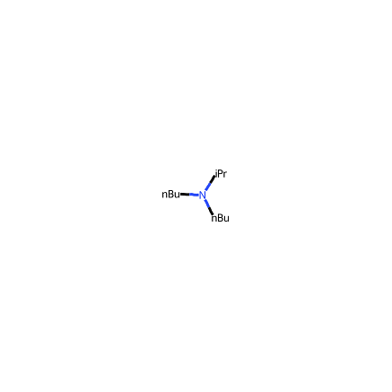 [CH2]CCCN(CCCC)C(C)C